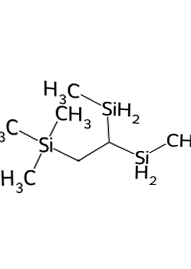 C[SiH2]C(C[Si](C)(C)C)[SiH2]C